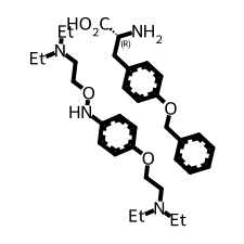 CCN(CC)CCONc1ccc(OCCN(CC)CC)cc1.N[C@H](Cc1ccc(OCc2ccccc2)cc1)C(=O)O